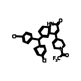 O=C(N1CC=C(c2cc(=O)[nH]c3ccc(C(c4ccc(Cl)cc4)c4ccc(Cl)cc4)cc23)CC1)C(F)(F)F